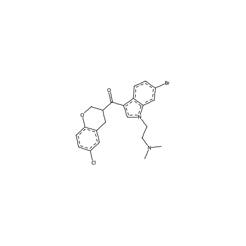 CN(C)CCn1cc(C(=O)C2COc3ccc(Cl)cc3C2)c2ccc(Br)cc21